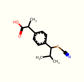 CC(C(=O)O)c1ccc(C(SC#N)C(C)C)cc1